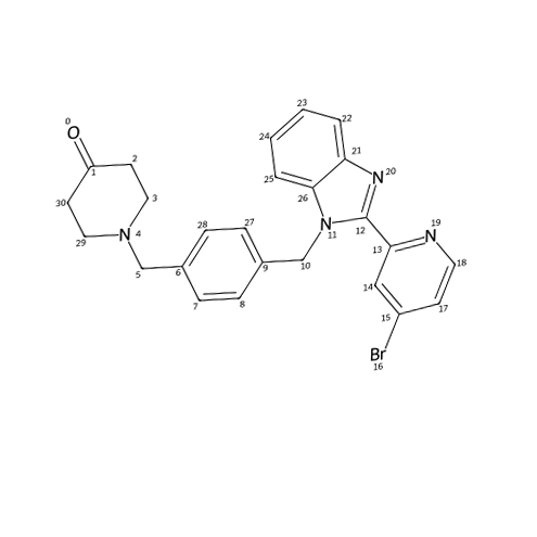 O=C1CCN(Cc2ccc(Cn3c(-c4cc(Br)ccn4)nc4ccccc43)cc2)CC1